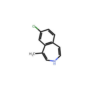 CC1=CNC=Cc2ccc(Cl)cc21